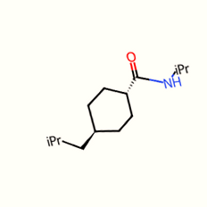 CC(C)C[C@H]1CC[C@H](C(=O)NC(C)C)CC1